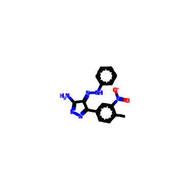 Cc1ccc(C2=NN=C(N)/C2=N/Nc2ccccc2)cc1[N+](=O)[O-]